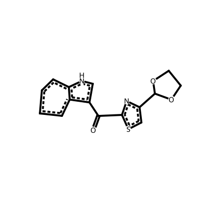 O=C(c1nc(C2OCCO2)cs1)c1c[nH]c2ccccc12